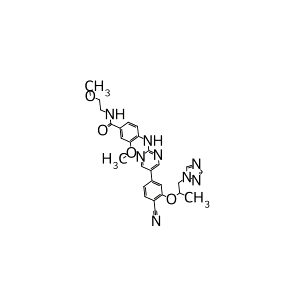 COCCNC(=O)c1ccc(Nc2ncc(-c3ccc(C#N)c(OC(C)Cn4cncn4)c3)cn2)c(OC)c1